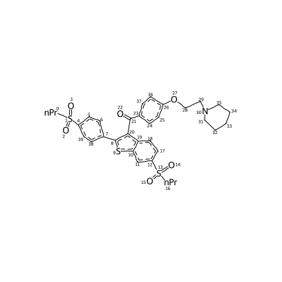 CCCS(=O)(=O)c1ccc(-c2sc3cc(S(=O)(=O)CCC)ccc3c2C(=O)c2ccc(OCCN3CCCCC3)cc2)cc1